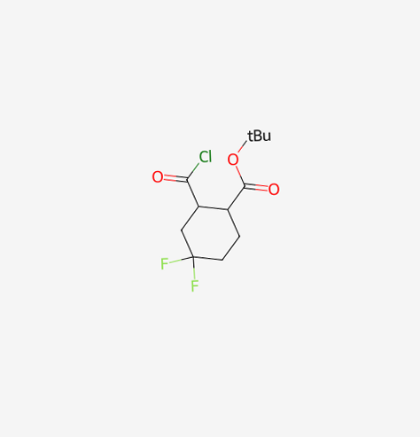 CC(C)(C)OC(=O)C1CCC(F)(F)CC1C(=O)Cl